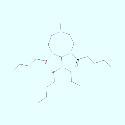 CCCCC(=O)N(CCC)C1N(C(=O)CCCC)CCN(C)CCN1C(=O)CCCC